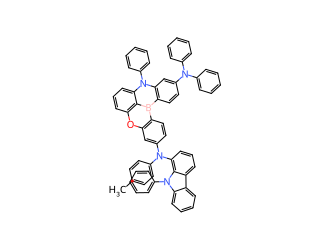 Cc1ccc(N(c2ccc3c(c2)Oc2cccc4c2B3c2ccc(N(c3ccccc3)c3ccccc3)cc2N4c2ccccc2)c2cccc3c4ccccc4n(-c4ccccc4)c23)cc1